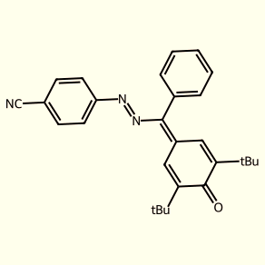 CC(C)(C)C1=CC(=C(N=Nc2ccc(C#N)cc2)c2ccccc2)C=C(C(C)(C)C)C1=O